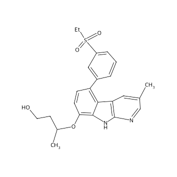 CCS(=O)(=O)c1cccc(-c2ccc(OC(C)CCO)c3[nH]c4ncc(C)cc4c23)c1